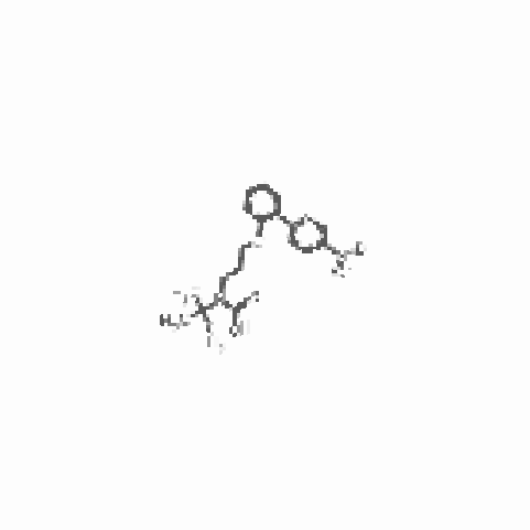 CC(C)(C)N(CCCOc1ccccc1-c1ccc([N+](=O)[O-])cn1)C(=O)O